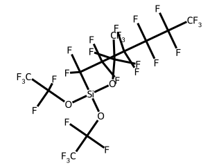 FC(F)(F)C(F)(F)O[Si](OC(F)(F)C(F)(F)F)(OC(F)(F)C(F)(F)F)C(F)(F)C(F)(F)C(F)(F)C(F)(F)C(F)(F)C(F)(F)F